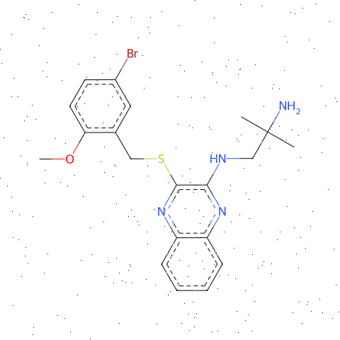 COc1ccc(Br)cc1CSc1nc2ccccc2nc1NCC(C)(C)N